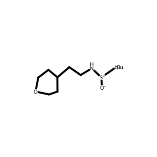 CC(C)(C)[S+]([O-])NCCC1CCOCC1